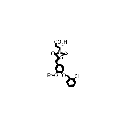 CCOc1cc(/C=C2\SC(=S)N(CCC(=O)O)C2=O)ccc1OCc1ccccc1Cl